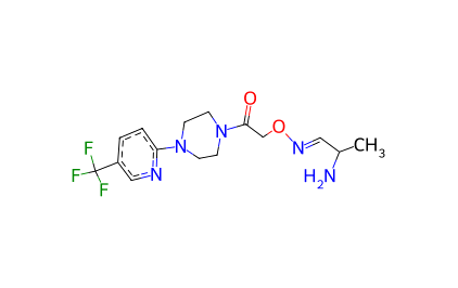 CC(N)C=NOCC(=O)N1CCN(c2ccc(C(F)(F)F)cn2)CC1